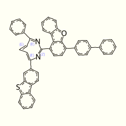 C1=C/C(c2ccccc2)=N\C(c2ccc(-c3ccc(-c4ccccc4)cc3)c3oc4ccccc4c23)=N/C(c2ccc3c(c2)sc2ccccc23)=C/1